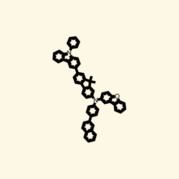 CC1(C)c2cc(-c3ccc4c(c3)c3ccccc3n4-c3ccccc3)ccc2-c2ccc(N(c3ccc(-c4ccc5ccccc5c4)cc3)c3ccc4oc5ccccc5c4c3)cc21